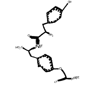 CCCCCCCC(=O)Oc1ccc(CC(NC(=O)C(N)Cc2ccc(O)cc2)C(=O)O)cc1